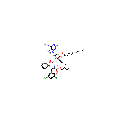 C#C[C@]1(CO[P@@](=O)(NC(Cc2cc(F)cc(F)c2)C(=O)OCC(CC)CC)Oc2ccccc2)O[C@@H](n2cnc3c(N)nc(F)nc32)C[C@@H]1OC(=O)CCCCCCCC